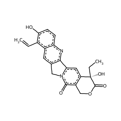 C=Cc1c(O)ccc2nc3c(cc12)Cn1c-3cc2c(c1=O)COC(=O)[C@]2(O)CC